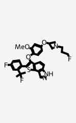 COc1cc(OC2CN(CCCF)C2)ccc1Oc1c(-c2ccc(F)cc2C(C)(C)F)sc2c1ccc1[nH]ncc12